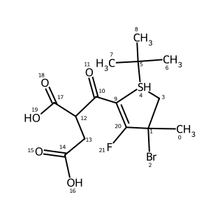 CC1(Br)C[SH](C(C)(C)C)C(C(=O)C(CC(=O)O)C(=O)O)=C1F